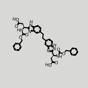 O=C(O)C[C@H](NC(=O)OCc1ccccc1)c1nc2cc(CCc3ccc4[nH]c([C@H](CC(=O)O)NC(=O)OCc5ccccc5)nc4c3)ccc2[nH]1